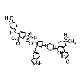 CC(C1=C(c2ccc(Cl)cc2)CC(C)(C)CC1)N1CCN(c2ccc(C(=O)NS(=O)(=O)c3ccc(NN4CCN(C)CC4)c([N+](=O)[O-])c3)c(Oc3ccc4[nH]ccc4c3)c2)CC1